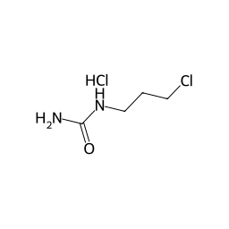 Cl.NC(=O)NCCCCl